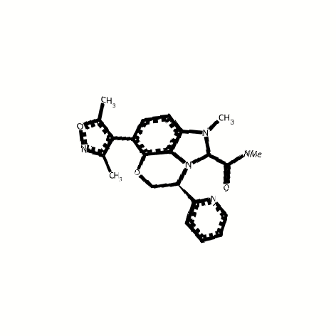 CNC(=O)C1N(C)c2ccc(-c3c(C)noc3C)c3c2N1[C@@H](c1ccccn1)CO3